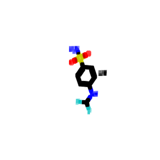 NS(=O)(=O)c1ccc(NC(F)F)cc1.[LiH]